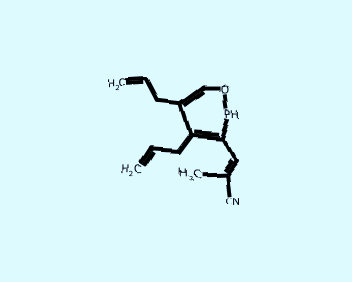 C=CCC1=COPC(C=C(C)C#N)=C1CC=C